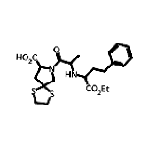 CCOC(=O)C(CCc1ccccc1)NC(C)C(=O)N1CC2(CC1C(=O)O)SCCS2